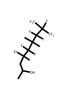 CCC(C)(CC(C)O)C(F)(F)C(C)(C)C(F)(F)C(F)(C(F)(F)F)C(F)(F)F